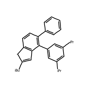 CCC(C)C1=Cc2c(ccc(-c3ccccc3)c2-c2cc(C(C)C)cc(C(C)C)c2)[CH]1